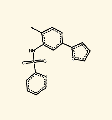 Cc1ccc(-c2ccco2)cc1NS(=O)(=O)c1ccccn1